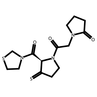 O=C1CCCN1CC(=O)N1CCC(=S)[C@H]1C(=O)N1CCSC1